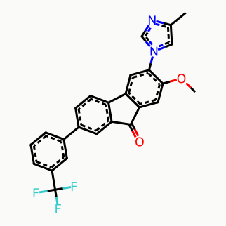 COc1cc2c(cc1-n1cnc(C)c1)-c1ccc(-c3cccc(C(F)(F)F)c3)cc1C2=O